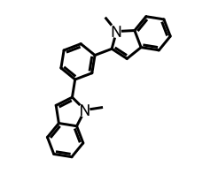 Cn1c(-c2cccc(-c3cc4ccccc4n3C)c2)cc2ccccc21